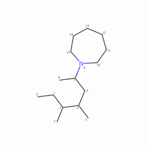 CCC(C)C(C)CC(C)N1CCCCCC1